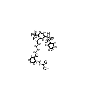 O=C(O)CCc1ccccc1OCCC/C=C/c1cc(NS(=O)(=O)c2ccccc2)ccc1C(F)(F)F